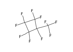 FC(F)(F)C1(F)C(F)(F)C(F)(F)C1(F)F